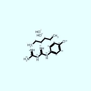 CCCCCC.Cl.Cl.N=C(N)NC(=N)Nc1ccc(Cl)cc1